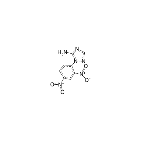 Nc1ncnn1-c1ccc([N+](=O)[O-])cc1[N+](=O)[O-]